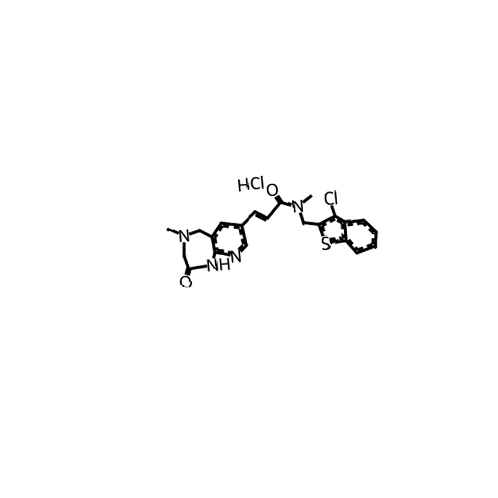 CN1CC(=O)Nc2ncc(C=CC(=O)N(C)Cc3sc4ccccc4c3Cl)cc2C1.Cl